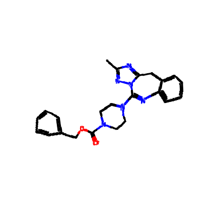 Cc1nc2n(n1)C(N1CCN(C(=O)OCc3ccccc3)CC1)=Nc1ccccc1C2